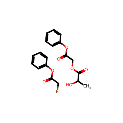 CC(O)C(=O)OCC(=O)Oc1ccccc1.O=C(CBr)Oc1ccccc1